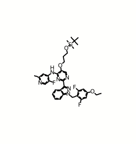 CCOc1cc(F)c(Cn2nc(-c3ncc(OCCCO[Si](C)(C)C(C)(C)C)c(Nc4cc(C)ncc4F)n3)c3ccccc32)c(F)c1